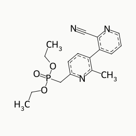 CCOP(=O)(Cc1ccc(-c2cccnc2C#N)c(C)n1)OCC